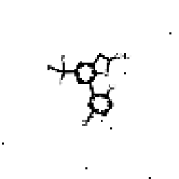 [CH2]C1Cc2cc(C(F)(F)F)cc(-c3cc(Cl)ccc3Cl)c2O1